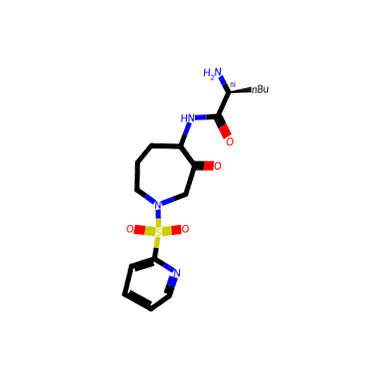 CCCC[C@H](N)C(=O)NC1CCCN(S(=O)(=O)c2ccccn2)CC1=O